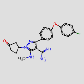 CNc1c(C(=N)N)c(-c2ccc(Oc3ccc(F)cc3)cc2)nn1C1CCC(=O)C1